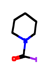 O=C(I)N1CCCCC1